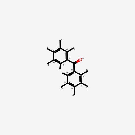 Cc1c(C)c(C)c(C(=O)c2c(C)c(C)c(C)c(C)c2C)c(C)c1C